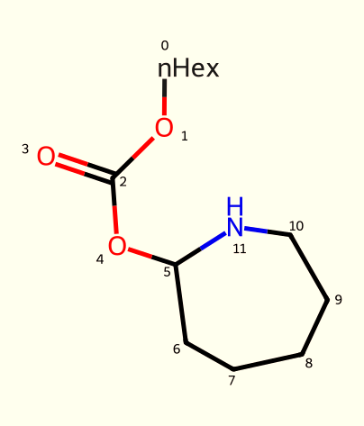 CCCCCCOC(=O)OC1CCCCCN1